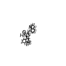 O=C1NC(=Nc2ccccc2C(F)(F)F)SC1=Cc1cccc2cccnc12